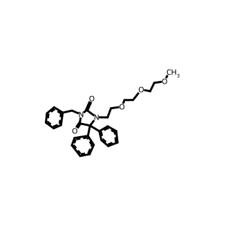 COCCOCCOCCN1C(=O)N(Cc2ccccc2)C(=O)C1(c1ccccc1)c1ccccc1